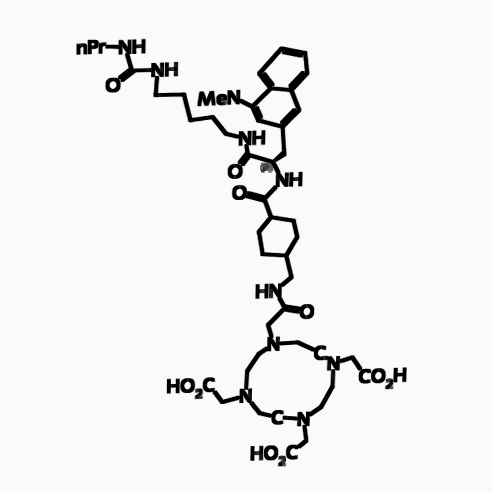 CCCNC(=O)NCCCCCNC(=O)[C@@H](Cc1cc(NC)c2ccccc2c1)NC(=O)C1CCC(CNC(=O)CN2CCN(CC(=O)O)CCN(CC(=O)O)CCN(CC(=O)O)CC2)CC1